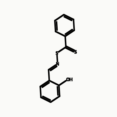 Oc1ccccc1C=NSC(=S)c1ccccc1